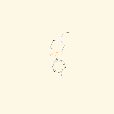 CCN1CCP(=O)(c2ccc(N)cc2)CC1.Cl